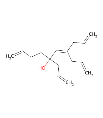 C=CCCC(O)(C=C(CC=C)CC=C)CC=C